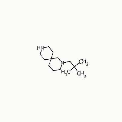 CC(C)(C)CN1CCCC2(CCNCC2)C1